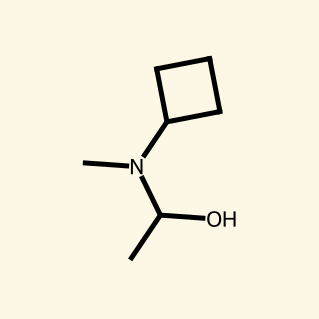 CC(O)N(C)C1CCC1